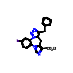 CCOC(=O)c1ncn2c1Cc1c(Cc3ccccc3)nnn1-c1cc(I)ccc1-2